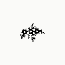 C/N=C/c1ccc(C2C(C(=O)OC)=C(C)N(c3cccc(C(F)(F)F)c3)C(N)=C2C(=O)OC(C)C)cc1